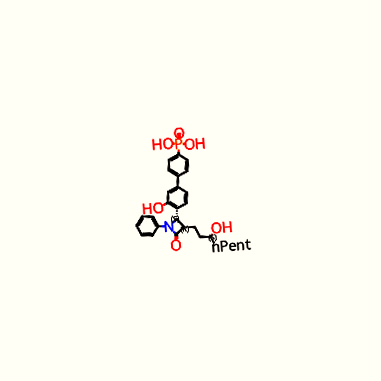 CCCCC[C@H](O)CC[C@H]1C(=O)N(c2ccccc2)[C@@H]1c1ccc(-c2ccc(P(=O)(O)O)cc2)cc1O